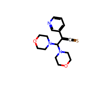 S=C=C(c1cccnc1)C(N1CCOCC1)N1CCOCC1